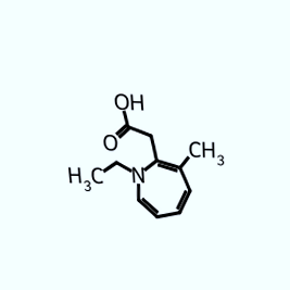 CCN1C=CC=CC(C)=C1CC(=O)O